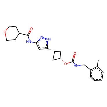 Cc1ccccc1CNC(=O)O[C@H]1C[C@@H](c2cc(NC(=O)C3CCOCC3)n[nH]2)C1